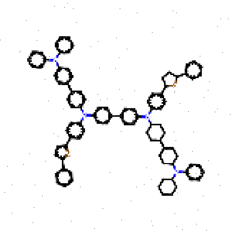 c1ccc(-c2ccc(-c3ccc(N(c4ccc(-c5ccc(N(c6ccccc6)c6ccccc6)cc5)cc4)c4ccc(-c5ccc(N(c6ccc(C7CCC(c8ccccc8)S7)cc6)C6CCC(C7CCC(N(c8ccccc8)C8CCCCC8)CC7)CC6)cc5)cc4)cc3)s2)cc1